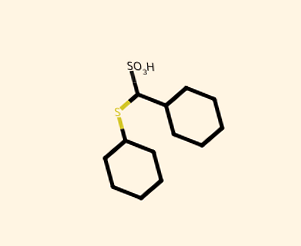 O=S(=O)(O)C(SC1CCCCC1)C1CCCCC1